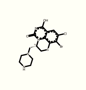 O=c1nc(O)c2cc(Cl)c(Br)c3c2n1[C@@H](CN1CCNCC1)CS3